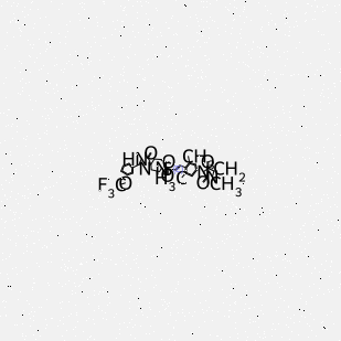 C=C1C(=O)N(c2cc(C)c(/C=C/S(=O)(=O)N3CCC4(CC3)N=C(c3cccc(OC(F)(F)F)c3)NC4=O)c(C)c2)C(=O)N1C